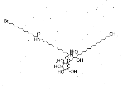 CCCCCCCCCCCCCCC(O)C(O)C(CO[C@H]1O[C@H](CO)[C@H](O)[C@H](O)[C@H]1O)NC(=O)CCCCCCCCCCCNC(=O)CCCCCCCCCCCBr